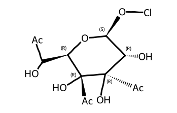 CC(=O)C(O)[C@H]1O[C@@H](OCl)[C@H](O)[C@](O)(C(C)=O)[C@@]1(O)C(C)=O